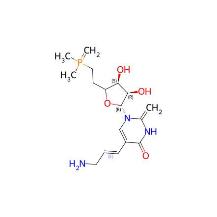 C=C1NC(=O)C(/C=C/CN)=CN1[C@@H]1OC(CCP(=C)(C)C)[C@@H](O)[C@H]1O